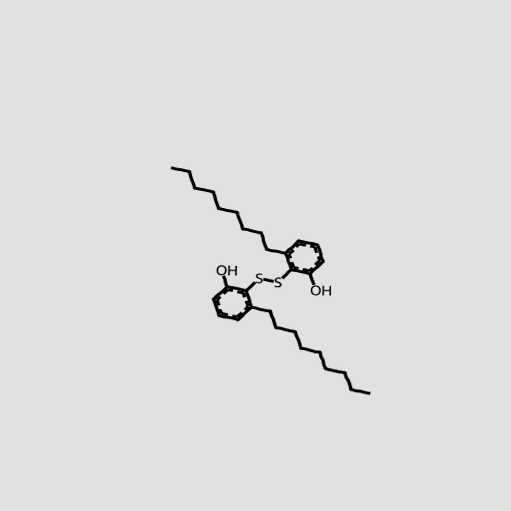 CCCCCCCCCc1cccc(O)c1SSc1c(O)cccc1CCCCCCCCC